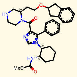 COC(=O)N[C@H]1CCCC[C@@H]1n1cnc(C(=O)N2CCNC[C@H]2CCOC2Cc3ccccc3C2)c1-c1ccccc1